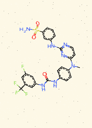 CN(c1ccc(NC(=O)Nc2cc(F)cc(C(F)(F)F)c2)cc1)c1ccnc(Nc2cccc(S(N)(=O)=O)c2)n1